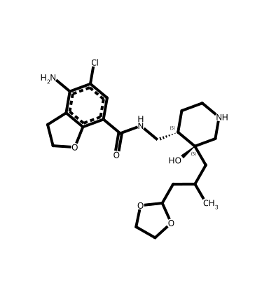 CC(CC1OCCO1)C[C@@]1(O)CNCC[C@H]1CNC(=O)c1cc(Cl)c(N)c2c1OCC2